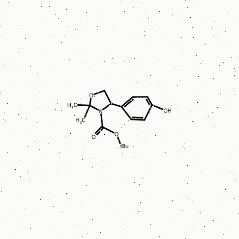 CC(C)(C)OC(=O)N1C(c2ccc(O)cc2)COC1(C)C